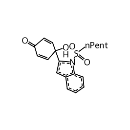 CCCCCS(=O)(=O)n1c(C2(O)C=CC(=O)C=C2)cc2ccccc21